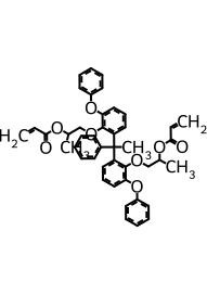 C=CC(=O)OC(C)COc1c(Oc2ccccc2)cccc1C(C)(c1ccccc1)c1cccc(Oc2ccccc2)c1OCC(C)OC(=O)C=C